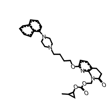 CC1CC1OC(=O)OCN1C(=O)CCc2ccc(OCCCCN3CCN(c4cccc5ccccc45)CC3)nc21